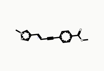 COC(=O)c1ccc(C#C/C=C/c2cnn(C)c2)cc1